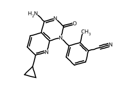 Cc1c(C#N)cccc1-n1c(=O)nc(N)c2ccc(C3CC3)nc21